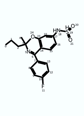 CCCC1(C)N=C(c2ccc(F)cc2)c2ccc(N[SH](=O)=O)cc2O1